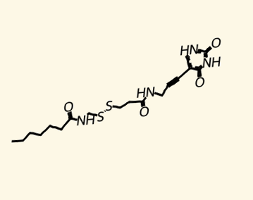 CCCCCCC(=O)NCSSCCC(=O)NCC#Cc1c[nH]c(=O)[nH]c1=O